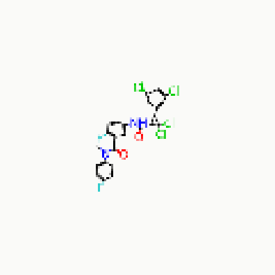 CN(C(=O)c1cc(NC(=O)[C@@H]2[C@@H](c3cc(Cl)cc(Cl)c3)C2(Cl)Cl)ccc1F)c1ccc(F)cc1